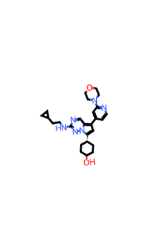 O[C@H]1CC[C@H](c2cc(-c3ccnc(N4CCOCC4)c3)c3cnc(NCCC4CC4)nn32)CC1